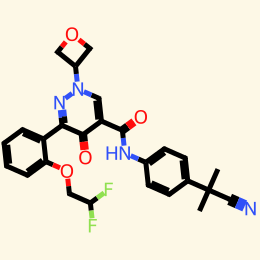 CC(C)(C#N)c1ccc(NC(=O)c2cn(C3COC3)nc(-c3ccccc3OCC(F)F)c2=O)cc1